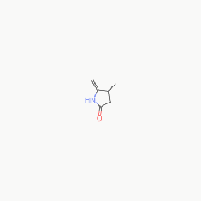 C=C1NC(=O)CC1C